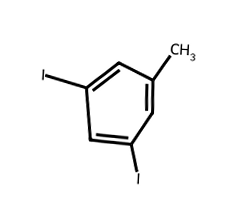 Cc1cc(I)cc(I)c1